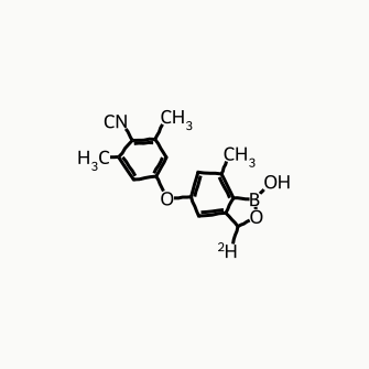 [2H]C1OB(O)c2c(C)cc(Oc3cc(C)c([N+]#[C-])c(C)c3)cc21